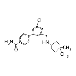 CC1(C)CCC(NCc2cc(Cl)cc(-c3ccc(C(N)=O)cc3)c2)CC1